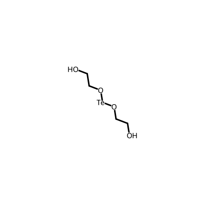 OCCO[Te]OCCO